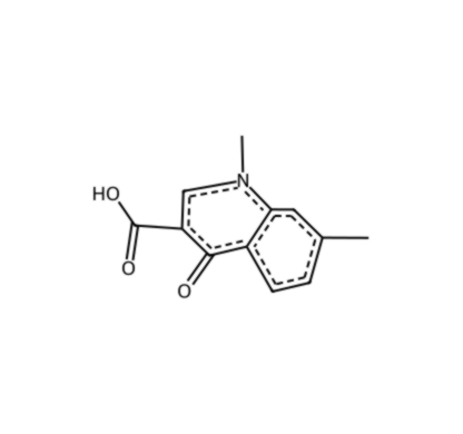 Cc1ccc2c(=O)c(C(=O)O)cn(C)c2c1